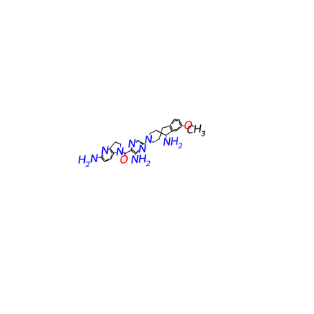 COc1ccc2c(c1)C(N)C1(CCN(c3cnc(C(=O)N4CCc5nc(N)ccc54)c(N)n3)CC1)C2